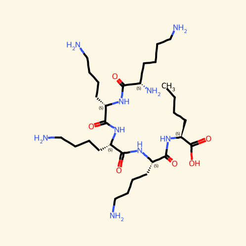 CCCC[C@H](NC(=O)[C@H](CCCCN)NC(=O)[C@H](CCCCN)NC(=O)[C@H](CCCCN)NC(=O)[C@@H](N)CCCCN)C(=O)O